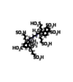 CC1(CCCS(=O)(=O)O)C(/C=C/C=C/C=C2/N(CCCS(=O)(=O)O)c3cc(C(=O)O)cc(C(=O)OCCCS(=O)(=O)O)c3C2(C)C)=[N+](CCCS(=O)(=O)O)c2ccc3c(S(=O)(=O)O)cc(S(=O)(=O)O)cc3c21